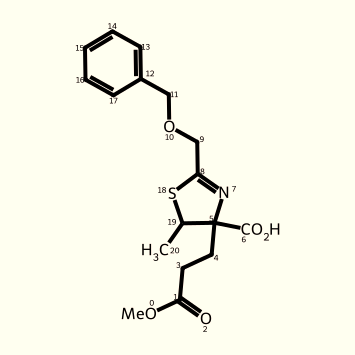 COC(=O)CCC1(C(=O)O)N=C(COCc2ccccc2)SC1C